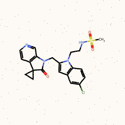 CS(=O)(=O)NCCn1c(CN2C(=O)C3(CC3)c3ccncc32)cc2cc(Cl)ccc21